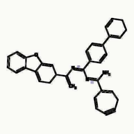 C=C(/N=C(\N=C(/N)C1=CCC#CC=C1)c1ccc(C2=CCCC=C2)cc1)C1C=c2oc3ccccc3c2=CC1